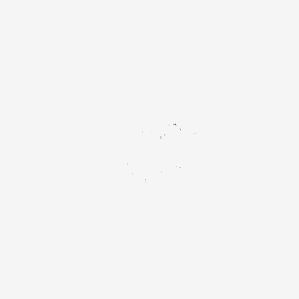 CCCOCC1CC1C(=O)N(C)CC